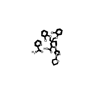 NC(=O)c1ccccn1.O=C(O)C1=CC(COc2ccccc2Cl)(COc2ccccc2Cl)C=CN1c1cnn(C2CCCCO2)c1